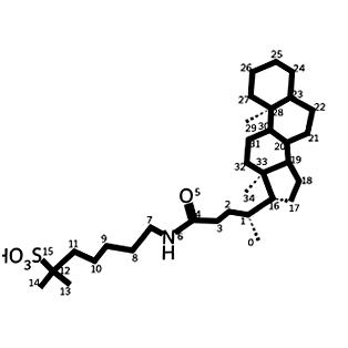 C[C@H](CCC(=O)NCCCCCC(C)(C)S(=O)(=O)O)[C@H]1CCC2C3CCC4CCCC[C@]4(C)C3CC[C@@]21C